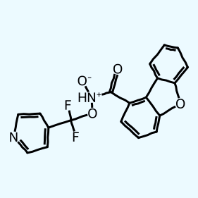 O=C(c1cccc2oc3ccccc3c12)[NH+]([O-])OC(F)(F)c1ccncc1